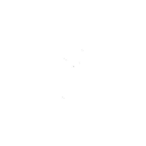 C1=CCCC(N2C3=CCC(c4ccc5c(c4)c4ccccc4n5-c4ccccc4)C=C3[C@H]3C=CC(N4C5=C(C=CCC5)C5CC=CCC54)=CC32)=C1